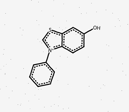 Oc1ccc2c(c1)sc[n+]2-c1ccccc1